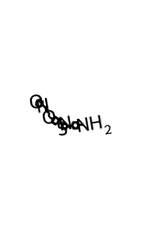 Nc1ccc(-c2csc(-c3ccc(OCCCN4CCOCC4)cc3)n2)cc1